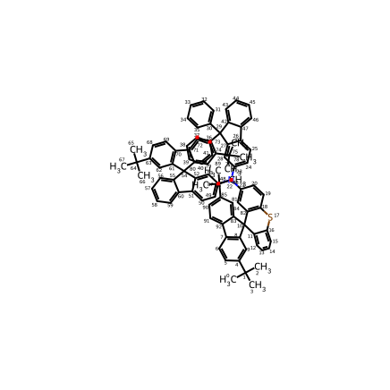 CC(C)(C)c1ccc2c(c1)C1(c3ccccc3Sc3ccc(N(c4ccc5c(c4)C(c4ccccc4)(c4ccccc4)c4ccccc4-5)c4ccc5c(c4)C4(c6ccccc6-5)c5cc(C(C)(C)C)ccc5-c5ccc(C(C)(C)C)cc54)cc31)c1cc(C(C)(C)C)ccc1-2